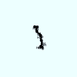 CN(C(=O)CCN1CCC(OC(=O)Nc2ccccc2-c2ccccc2)CC1)c1ccc(C(=O)NCCc2ccc(CCNC[C@H](O)c3ccc(O)c4[nH]c(=O)ccc34)cc2)cc1